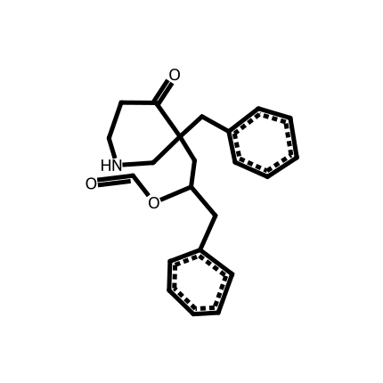 O=COC(Cc1ccccc1)CC1(Cc2ccccc2)CNCCC1=O